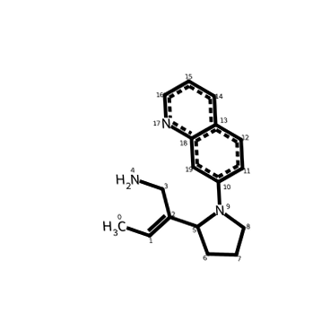 CC=C(CN)C1CCCN1c1ccc2cccnc2c1